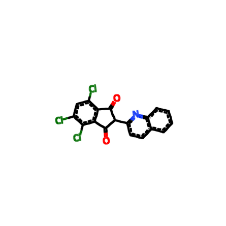 O=C1c2c(Cl)cc(Cl)c(Cl)c2C(=O)C1c1ccc2ccccc2n1